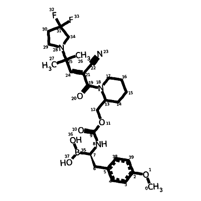 COc1ccc(C[C@H](NC(=O)OCC2CCCCN2C(=O)C(C#N)=CC(C)(C)N2CCC(F)(F)C2)B(O)O)cc1